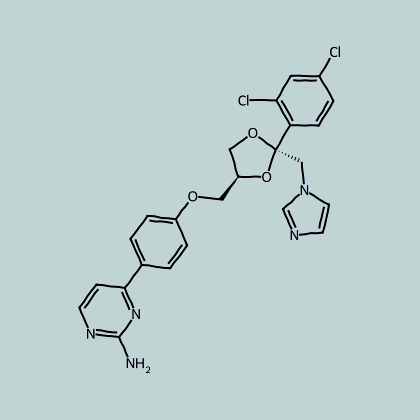 Nc1nccc(-c2ccc(OC[C@H]3CO[C@@](Cn4ccnc4)(c4ccc(Cl)cc4Cl)O3)cc2)n1